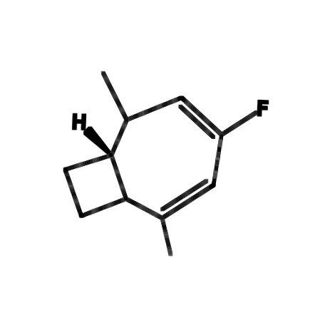 CC1=CC(F)=CC(C)[C@H]2CCC12